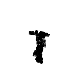 CCCCC(C)Oc1ccc(Br)cc1C(=O)NC(=S)Nc1ccc(S(=O)(=O)Nc2ccc(C)cc2C)cc1